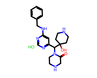 Cl.O=C1CNCCN1C(c1cc(NCc2ccccc2)ncn1)C1(O)CCNCC1